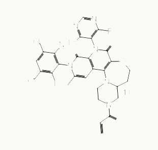 C=CC(=O)N1CCN2c3c(c(=O)n(-c4c(CC)ncnc4CC)c4c(=O)n(-c5c(N)c(Cl)cc(Cl)c5F)c(C)cc34)OCC[C@H]2C1